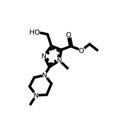 CCOC(=O)c1c(CO)nc(N2CCN(C)CC2)n1C